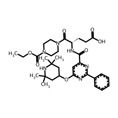 CCOC(=O)N1CCN(C(=O)[C@H](CCC(=O)O)NC(=O)c2cc(OC3CC(C)(C)NC(C)(C)C3)nc(-c3ccccc3)n2)CC1